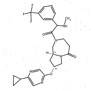 CNC(C(=O)N1CCC(=O)N2C[C@H](Oc3cnc(C4CC4)cn3)C[C@H]2C1)c1cccc(C(F)(F)F)c1